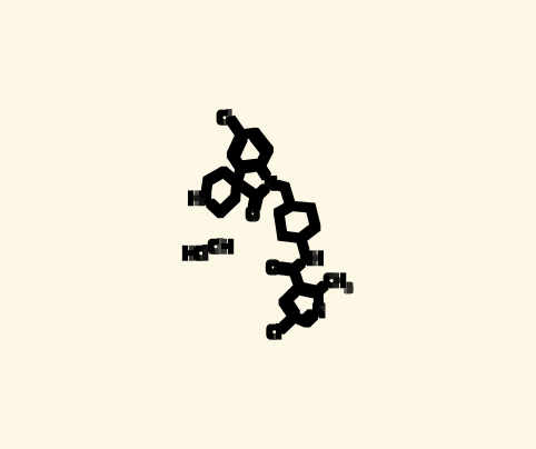 Cc1ncc(Cl)cc1C(=O)NC1CCC(CN2C(=O)C3(CCNCC3)c3cc(Cl)ccc32)CC1.Cl.Cl